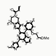 C=CC(=O)N1Cc2cc(-c3nc(-c4cnn(C)c4)c4ccsc4c3-c3c(F)cc(F)cc3OCCOC)nn2[C@@H](C)C1